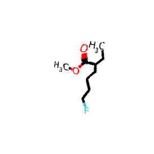 CCC(CCCCF)C(=O)OC